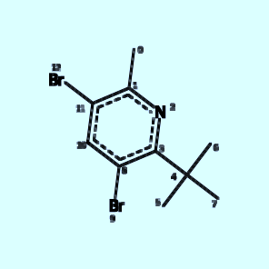 Cc1nc(C(C)(C)C)c(Br)cc1Br